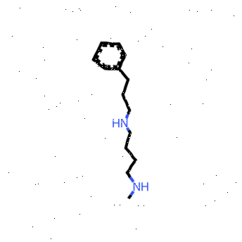 CNCCCCNCCCc1ccccc1